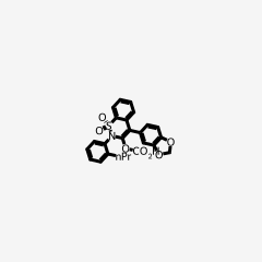 CCCc1ccccc1N1C(OC(=O)O)=C(c2ccc3c(c2)OCO3)c2ccccc2S1(=O)=O